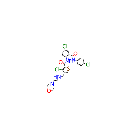 O=C(Nc1ccc(Cl)cc1)c1cc(Cl)ccc1NC(=O)c1scc(CNCCN2CCOCC2)c1Cl